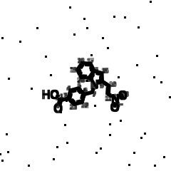 O=C(O)c1ccc(Cn2c(/C=C/[N+](=O)[O-])cc3ccccc32)cc1